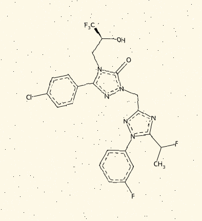 CC(F)c1nc(Cn2nc(-c3ccc(Cl)cc3)n(C[C@H](O)C(F)(F)F)c2=O)nn1-c1cccc(F)c1